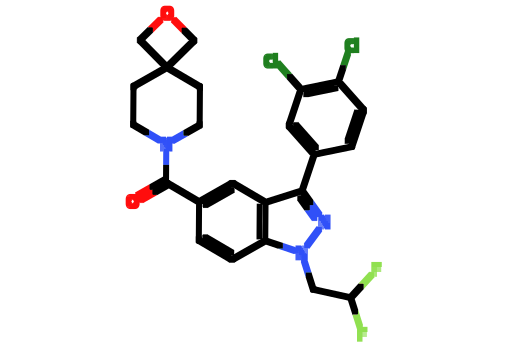 O=C(c1ccc2c(c1)c(-c1ccc(Cl)c(Cl)c1)nn2CC(F)F)N1CCC2(CC1)COC2